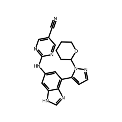 N#Cc1cnc(Nc2cc(-c3ccnn3C3CCCCO3)c3nc[nH]c3c2)nc1